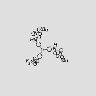 CC(C)(C)OC(=O)N1CCC[C@H]1C(=O)Nc1ccc(C2C(c3ccc(NC(=O)[C@@H]4CCCN4C(=O)OC(C)(C)C)cc3)C2c2ccc(OS(=O)(=O)C(F)(F)F)cc2)cc1